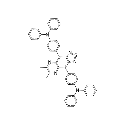 Cc1nc2c(-c3ccc(N(c4ccccc4)c4ccccc4)cc3)c3nsnc3c(-c3ccc(N(c4ccccc4)c4ccccc4)cc3)c2nc1C